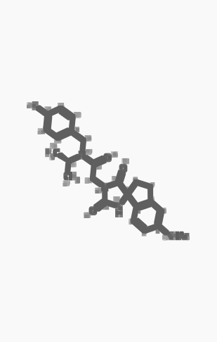 CC(=O)Nc1ccc2c(c1)CCC21NC(=O)N(CC(=O)N(Cc2ccc(F)cc2)[C@@H](C)C(F)(F)F)C1=O